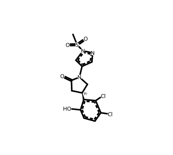 CS(=O)(=O)n1cc(N2C[C@@H](c3c(O)ccc(Cl)c3Cl)CC2=O)cn1